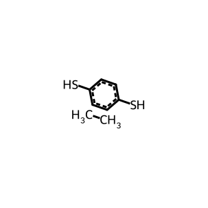 CC.Sc1ccc(S)cc1